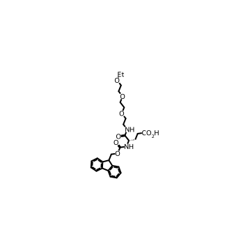 CCOCCOCCOCCNC(=O)[C@H](CCC(=O)O)NC(=O)OCC1c2ccccc2-c2ccccc21